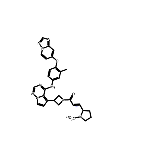 Cc1cc(Nc2ncnn3ccc(C4CN(C(=O)/C=C/C5CCCN5C(=O)O)C4)c23)ccc1Oc1ccn2ncnc2c1